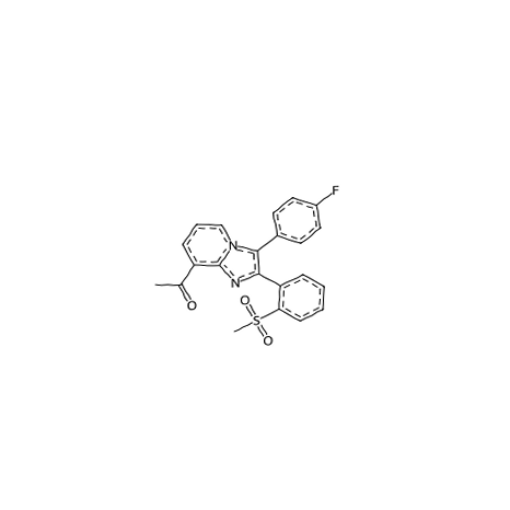 CC(=O)c1cccn2c(-c3ccc(F)cc3)c(-c3ccccc3S(C)(=O)=O)nc12